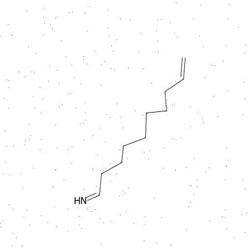 C=CCCCCCCCC=N